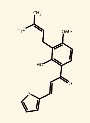 COc1ccc(C(=O)C=Cc2cccs2)c(O)c1CC=C(C)C